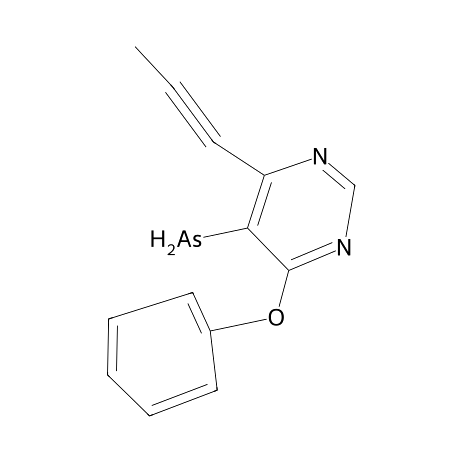 CC#Cc1ncnc(Oc2ccccc2)c1[AsH2]